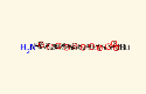 CC(C)(C)OC(=O)COCCOCCOCCOCCOCCOCCOCCOCCOCCN